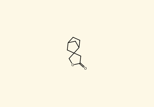 O=C1CC2(CO1)CC1CCC2C1